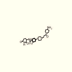 NC1CCN(C(=O)CCN2CCN(c3ccc(C(=O)NC4CCC(=O)NC4=O)c(F)c3)CC2)CC1